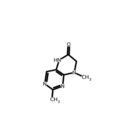 Cc1ncc2c(n1)N(C)CC(=O)N2